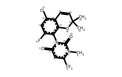 Cn1c(C(F)(F)F)cc(=O)n(-c2c(F)cc(Cl)c3c2OC(C)(C)C=C3)c1=O